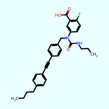 CCCCc1ccc(C#Cc2ccc(CN(C(=O)NCCC)c3ccc(F)c(C(=O)O)c3)cc2)cc1